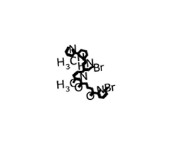 Cc1ccc(-c2cc(Br)nc(C3CCCC(c4ncccc4C)N3)c2)nc1C(=O)CCCC(=O)c1cccc(Br)n1